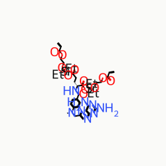 C=CC(=O)OCCO[Si](CC)(CC)OC(=O)CC[C@@H](NC(=O)c1ccc(N(C)Cc2cnc3nc(N)nc(N)c3n2)cc1)C(=O)O[Si](CC)(CC)OCCOC(=O)C=C